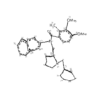 COc1ccc(C(=O)N(C[C@@H]2CCCN2CC2CCCCC2)c2cc3ccccc3s2)c(C)c1OC